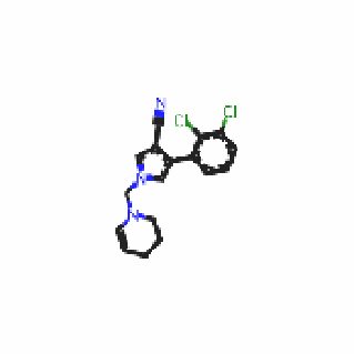 N#Cc1cn(CN2C=CCCC2)cc1-c1cccc(Cl)c1Cl